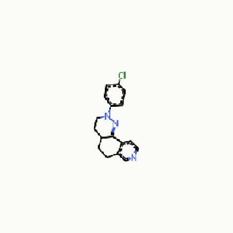 Clc1ccc(N2CCC3CCc4cnccc4C3=N2)cc1